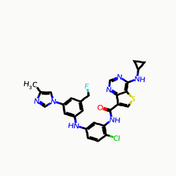 Cc1cn(-c2cc(CF)cc(Nc3ccc(Cl)c(NC(=O)c4csc5c(NC6CC6)ncnc45)c3)c2)cn1